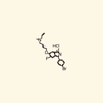 C=CCN(C)C/C=C/COc1cc2c(cc1F)c(-c1ccc(Br)cc1)nn2C.Cl